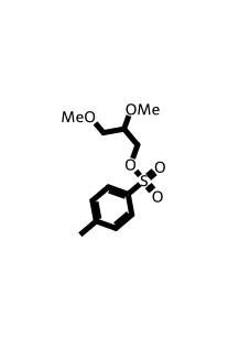 COCC(COS(=O)(=O)c1ccc(C)cc1)OC